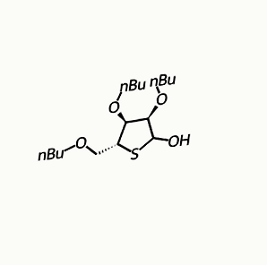 CCCCOC[C@H]1SC(O)[C@H](OCCCC)[C@@H]1OCCCC